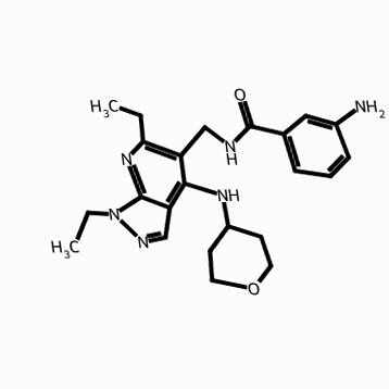 CCc1nc2c(cnn2CC)c(NC2CCOCC2)c1CNC(=O)c1cccc(N)c1